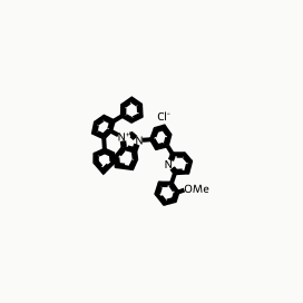 COc1ccccc1-c1cccc(-c2cccc(-n3c[n+](-c4c(-c5ccccc5)cccc4-c4ccccc4)c4ccccc43)c2)n1.[Cl-]